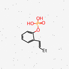 CCC=Cc1ccccc1OP(=O)(O)O